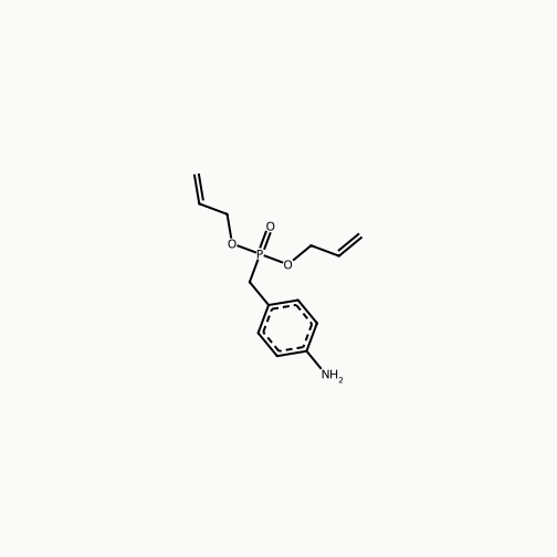 C=CCOP(=O)(Cc1ccc(N)cc1)OCC=C